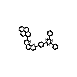 c1ccc(-c2nc(-c3ccccc3)nc(-c3ccc(-c4ccc5ccc6ccc(-c7ccc8ccc9cccc%10ccc7c8c9%10)nc6c5n4)cc3)n2)cc1